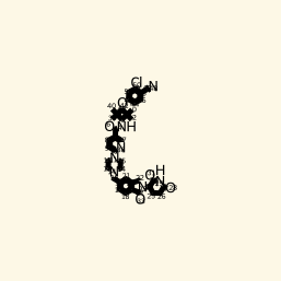 CC1(C)C(NC(=O)c2ccc(N3CCN(Cc4ccc5c(c4)CN(C4CCC(=O)NC4=O)C5=O)CC3)nc2)C(C)(C)C1Oc1ccc(C#N)c(Cl)c1